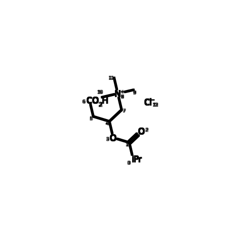 CC(C)C(=O)OC(CC(=O)O)C[N+](C)(C)C.[Cl-]